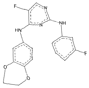 Fc1cccc(Nc2ncc(F)c(Nc3ccc4c(c3)OCCO4)n2)c1